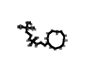 C[N+](C)(C)CCOP(=O)([O-])OCCC1CCCCCCCCCCC1